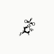 CS(=O)(=O)n1cc(F)cn1